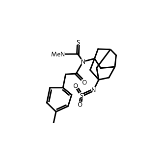 CNC(=S)N(C(=O)Cc1ccc(C)cc1)C12CC3CC(CC(N=S(=O)=O)(C3)C1)C2